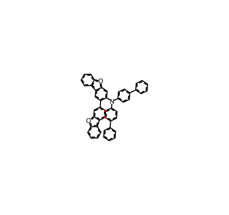 c1ccc(-c2ccc(N(c3ccc(-c4ccccc4)cc3)c3cc4oc5ccccc5c4cc3-c3ccc4c(c3)oc3ccccc34)cc2)cc1